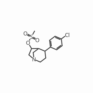 CS(=O)(=O)OC1CN2CCC(c3ccc(Cl)cc3)C1C2